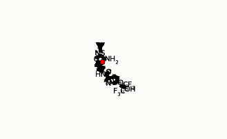 NC(=O)c1sc(C2CC2)nc1O[C@H]1CC2(C[C@H](NC(=O)c3cnn4cc(OCC(O)(C(F)(F)F)C(F)(F)F)ccc34)C2)C1